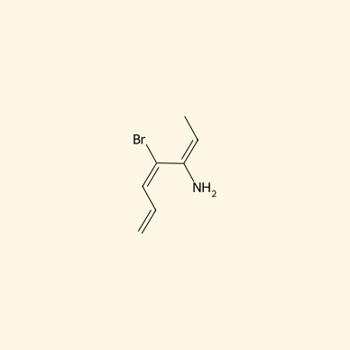 C=C/C=C(Br)\C(N)=C/C